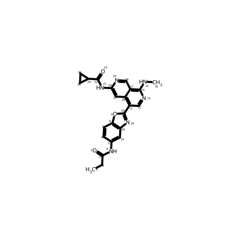 CCC(=O)Nc1ccc2oc(-c3cnc(NC)c4cnc(NC(=O)C5CC5)cc34)nc2c1